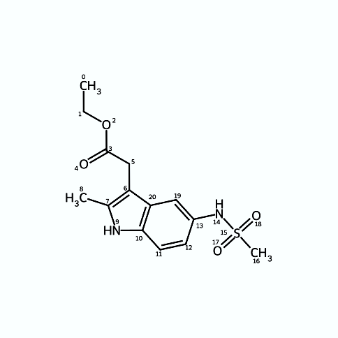 CCOC(=O)Cc1c(C)[nH]c2ccc(NS(C)(=O)=O)cc12